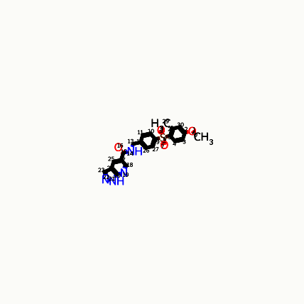 COc1ccc(S(=O)(=O)c2ccc(CNC(=O)c3cnc4[nH]ncc4c3)cc2)c(C)c1